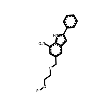 CC(C)OCCOCc1cc([N+](=O)[O-])c2[nH]c(-c3ccccc3)cc2c1